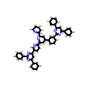 c1ccc(-c2cc(-c3ccc(-c4cc(-c5cccc(-c6nc(-c7ccccc7)cc(-c7ccccc7)n6)c5)cc(-c5ccccn5)n4)nc3)nc(-c3ccccc3)n2)cc1